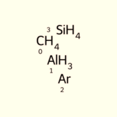 C.[AlH3].[Ar].[SiH4]